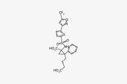 O=C(O)CSCC1(c2ccccc2)CC1(NS(=O)(=O)c1ccc(-c2cc(C(F)(F)F)on2)s1)C(=O)O